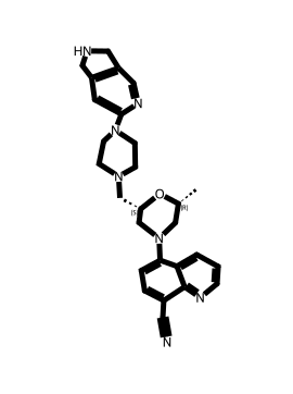 C[C@@H]1CN(c2ccc(C#N)c3ncccc23)C[C@H](CN2CCN(c3cc4c(cn3)CNC4)CC2)O1